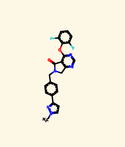 Cn1ccc(-c2ccc(CN3Cc4ncnc(Oc5c(F)cccc5F)c4C3=O)cc2)n1